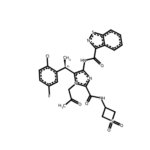 CC(=O)Cn1c(C(=O)NC2CS(=O)(=O)C2)nc(NC(=O)c2nsc3ccccc23)c1[C@H](C)c1cc(F)ccc1Cl